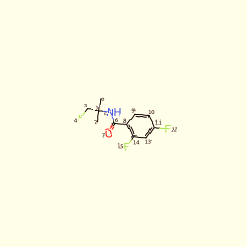 CC(C)(CF)NC(=O)c1ccc(F)cc1F